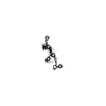 CC1(C)CCC(CNCCNc2ccc(C(=O)NS(=O)(=O)c3ccc(NCCN4CCOCC4)c(S(=O)(=O)C(F)(F)F)c3)c(Oc3ccc4[nH]ccc4c3)c2)=C(c2ccc(Cl)cc2)C1